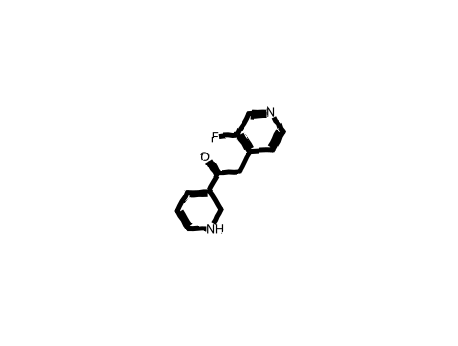 O=C(Cc1ccncc1F)C1=CC=CNC1